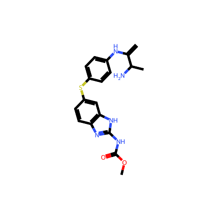 C=C(Nc1ccc(Sc2ccc3nc(NC(=O)OC)[nH]c3c2)cc1)C(C)N